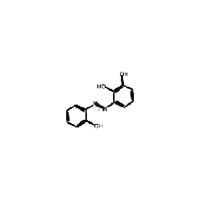 Oc1ccccc1/N=N/c1cccc(O)c1O